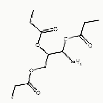 CCC(=O)OCC(OC(=O)CC)C([SiH2])OC(=O)CC